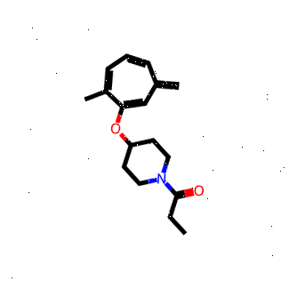 C=C1C=CC=C(C)C(OC2CCN(C(=O)CC)CC2)=C1